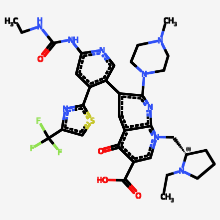 CCNC(=O)Nc1cc(-c2nc(C(F)(F)F)cs2)c(-c2cc3c(=O)c(C(=O)O)cn(C[C@@H]4CCCN4CC)c3nc2N2CCN(C)CC2)cn1